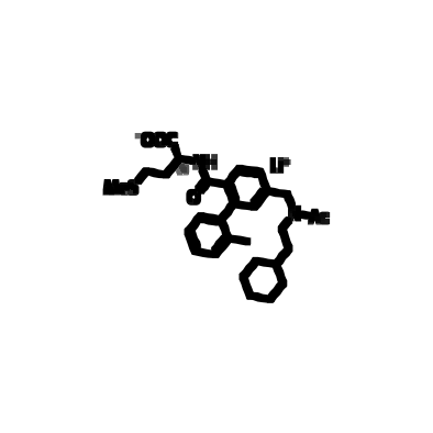 CSCC[C@H](NC(=O)c1ccc(CN(CCC2CCCCC2)C(C)=O)cc1-c1ccccc1C)C(=O)[O-].[Li+]